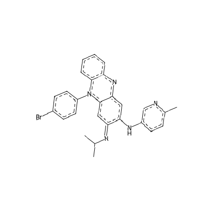 Cc1ccc(Nc2cc3nc4ccccc4n(-c4ccc(Br)cc4)c-3c/c2=N\C(C)C)cn1